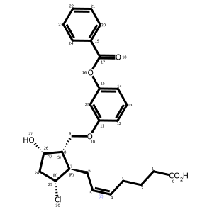 O=C(O)CCC/C=C\C[C@@H]1[C@@H](COc2cccc(OC(=O)c3ccccc3)c2)[C@@H](O)C[C@H]1Cl